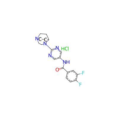 Cl.O=C(Nc1cnc(N2CCN3CCC2CC3)nc1)c1ccc(F)c(F)c1